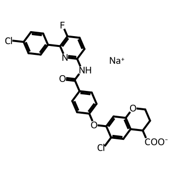 O=C(Nc1ccc(F)c(-c2ccc(Cl)cc2)n1)c1ccc(Oc2cc3c(cc2Cl)C(C(=O)[O-])CCO3)cc1.[Na+]